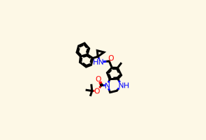 Cc1cc2c(cc1C(=O)NC1(c3cccc4ccccc34)CC1)N(C(=O)OC(C)(C)C)CCN2